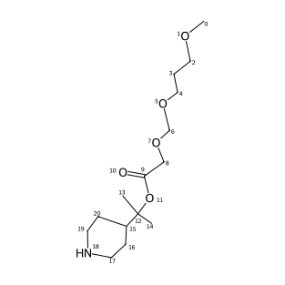 COCCCOCOCC(=O)OC(C)(C)C1CCNCC1